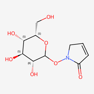 O=C1C=CCN1OC1O[C@@H](CO)[C@@H](O)[C@H](O)[C@H]1O